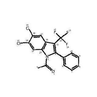 CC(=O)n1c(-c2ccccc2)c(C(F)(F)F)c2cc(Cl)c(Cl)cc21